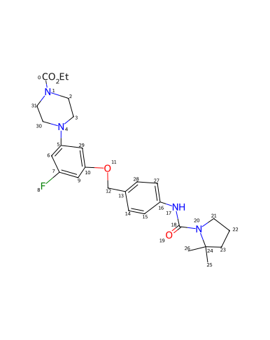 CCOC(=O)N1CCN(c2cc(F)cc(OCc3ccc(NC(=O)N4CCCC4(C)C)cc3)c2)CC1